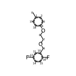 Cc1ccc(OCCOCc2cc(F)ccc2F)cc1